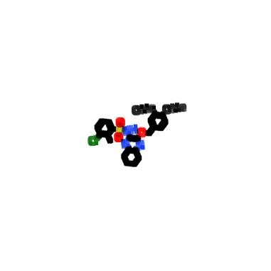 COc1ccc(COc2nc3c(nc2NS(=O)(=O)c2cccc(Cl)c2C)CCCC3)cc1OC